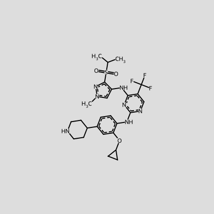 CC(C)S(=O)(=O)c1nn(C)cc1Nc1nc(Nc2ccc(C3CCNCC3)cc2OC2CC2)ncc1C(F)(F)F